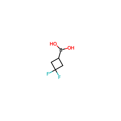 OB(O)C1CC(F)(F)C1